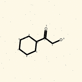 [O]CC(=O)C1CCCCC1